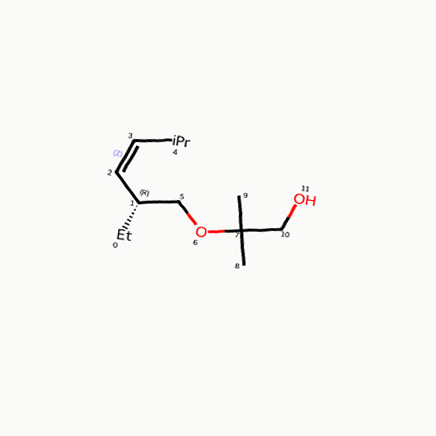 CC[C@H](/C=C\C(C)C)COC(C)(C)CO